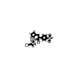 CS(=O)(=O)c1ccc(C(CC2CCCC2)C(=O)Nc2ncc(Cl)s2)cc1